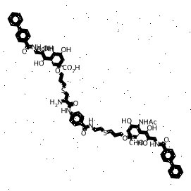 CC(=O)N[C@H]1[C@H]([C@H](O)[C@H](O)CNC(=O)c2ccc(-c3ccccc3)cc2)C[C@](C=O)(OCCCSCCNC(=O)c2ccc(NC(=O)C(N)CSCCCO[C@@]3(C(=O)O)C[C@@H]([C@H](O)[C@H](O)CNC(=O)c4ccc(-c5ccccc5)cc4)[C@H](NC(C)=O)[C@@H](O)C3)cc2)C[C@@H]1O